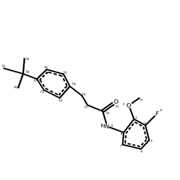 COc1c(F)cccc1NC(=O)CCc1ccc(C(C)(C)C)cc1